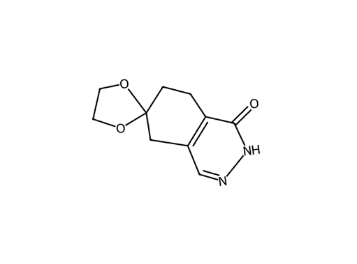 O=c1[nH]ncc2c1CCC1(C2)OCCO1